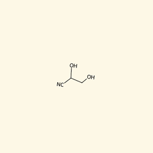 N#CC(O)CO